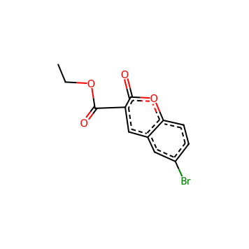 CCOC(=O)c1cc2cc(Br)ccc2oc1=O